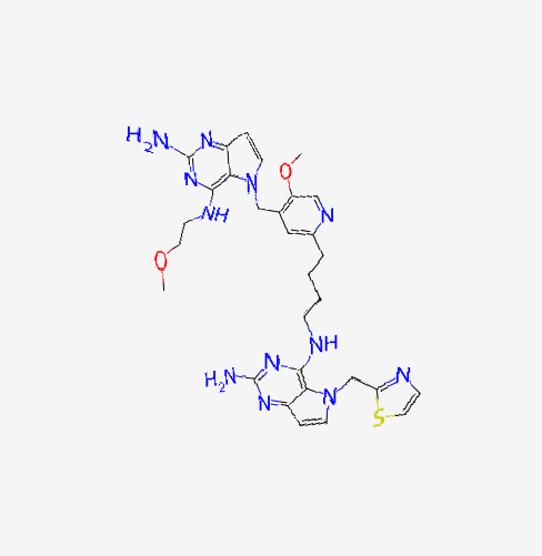 COCCNc1nc(N)nc2ccn(Cc3cc(CCCCNc4nc(N)nc5ccn(Cc6nccs6)c45)ncc3OC)c12